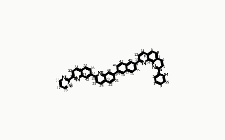 c1ccc(-c2ccc3ccc4ccc(-c5ccc6cc(-c7ccc8ccc(-c9ccc%10ccc(-c%11ncccn%11)nc%10c9)nc8c7)ccc6c5)nc4c3n2)cc1